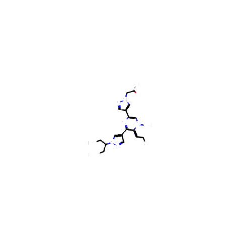 CC/C=C1/C(c2cnn(C(CC)CC)c2)=NC(c2cnn(C[C@@H](C)O)c2)=CN1C